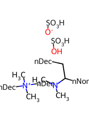 CCCCCCCCCCCC(CCCCCCCCC)N(C)C.CCCCCCCCCC[N+](C)(C)CCCCCCCCCC.O=S(=O)(O)O.O=S(=O)([O-])O